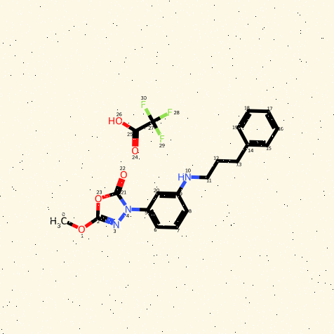 COc1nn(-c2cccc(NCCCc3ccccc3)c2)c(=O)o1.O=C(O)C(F)(F)F